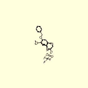 COc1cc2nc(OS(=O)(=O)C(F)(F)F)cnc2cc1OCc1ccccc1